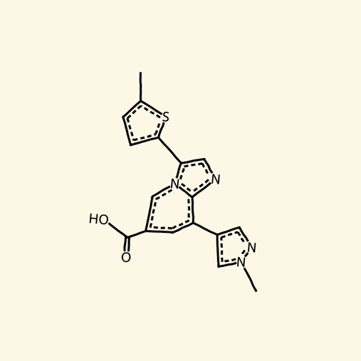 Cc1ccc(-c2cnc3c(-c4cnn(C)c4)cc(C(=O)O)cn23)s1